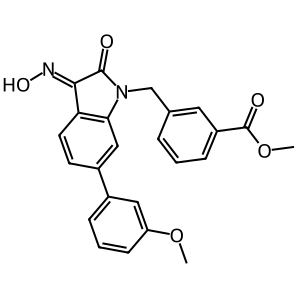 COC(=O)c1cccc(CN2C(=O)/C(=N/O)c3ccc(-c4cccc(OC)c4)cc32)c1